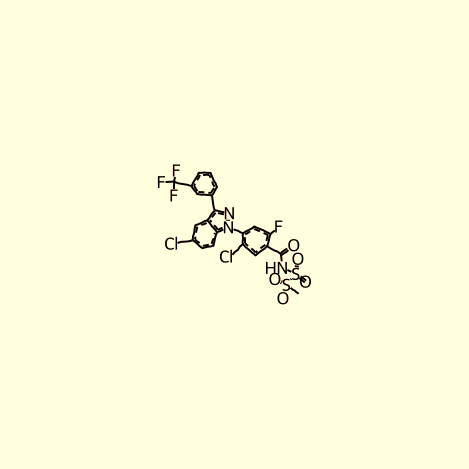 CS(=O)(=O)S(=O)(=O)NC(=O)c1cc(Cl)c(-n2nc(-c3cccc(C(F)(F)F)c3)c3cc(Cl)ccc32)cc1F